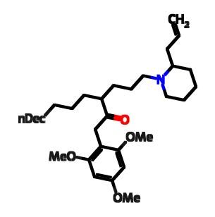 C=CCC1CCCCN1CCCC(CCCCCCCCCCCCC)C(=O)Cc1c(OC)cc(OC)cc1OC